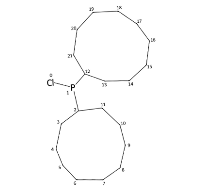 ClP(C1CCCCCCCCC1)C1CCCCCCCCC1